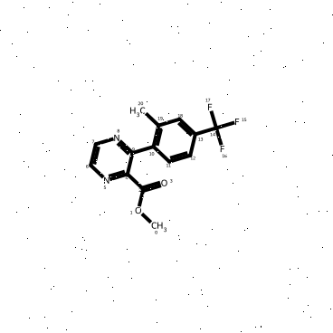 COC(=O)c1nccnc1-c1ccc(C(F)(F)F)cc1C